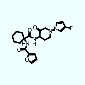 O=C(NC1(C(=O)NC2CCN(n3ccc(F)c3)CC2=O)CCCCC1)c1ccco1